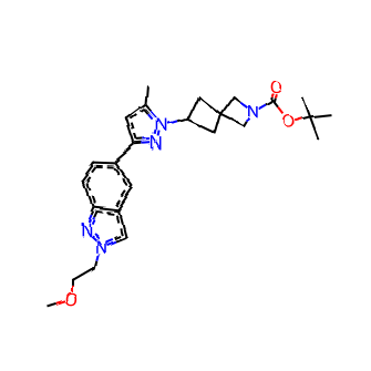 COCCn1cc2cc(-c3cc(C)n(C4CC5(C4)CN(C(=O)OC(C)(C)C)C5)n3)ccc2n1